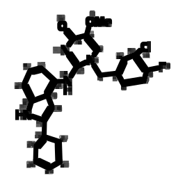 COc1cn(Cc2ccc(F)c(Cl)c2)c(Nc2cccc3[nH]c(-c4ccccc4)cc23)nc1=O